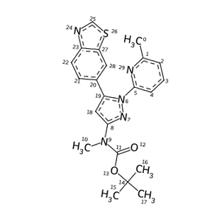 Cc1cccc(-n2nc(N(C)C(=O)OC(C)(C)C)cc2-c2ccc3ncsc3c2)n1